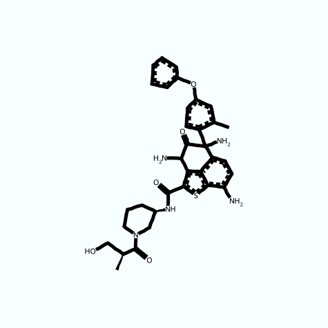 Cc1cc(Oc2ccccc2)ccc1C1(N)C(=O)C(N)c2c(C(=O)N[C@@H]3CCCN(C(=O)[C@@H](C)CO)C3)sc3c(N)ccc1c23